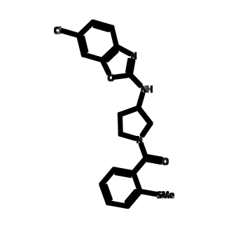 CSc1ccccc1C(=O)N1CCC(Nc2nc3ccc(Cl)cc3o2)C1